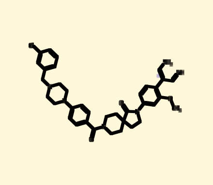 COc1cc(N2CCC3(CCN(C(=O)c4ccc(N5CCN(Cc6cccc(Cl)c6)CC5)cc4)CC3)C2=O)ccc1/C(C=N)=C/N